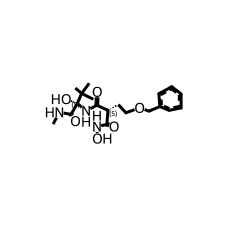 CNC(=O)[C@](O)(NC(=O)[C@H](CCOCc1ccccc1)C(=O)NO)C(C)(C)C